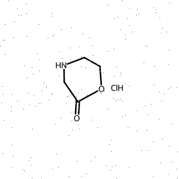 Cl.O=C1CNCCO1